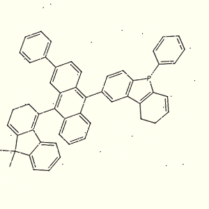 CC1(C)C2=CCCC(c3c4ccccc4c(-c4ccc5c(c4)c4c(p5-c5ccccc5)C=CCC4)c4ccc(-c5ccccc5)cc34)=C2c2ccccc21